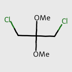 COC(CCl)(CCl)OC